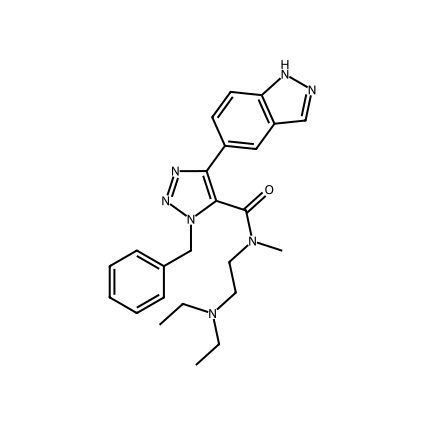 CCN(CC)CCN(C)C(=O)c1c(-c2ccc3[nH]ncc3c2)nnn1Cc1ccccc1